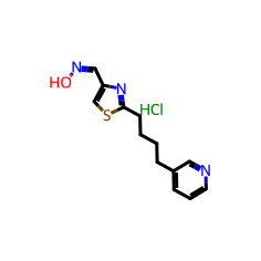 Cl.O/N=C\c1csc(CCCCc2cccnc2)n1